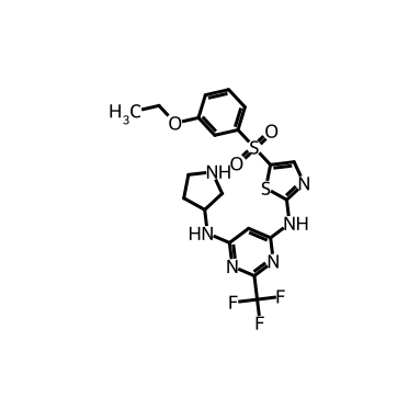 CCOc1cccc(S(=O)(=O)c2cnc(Nc3cc(NC4CCNC4)nc(C(F)(F)F)n3)s2)c1